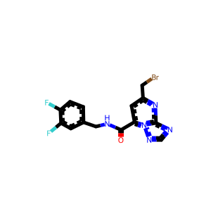 O=C(NCc1ccc(F)c(F)c1)c1cc(CBr)nc2ncnn12